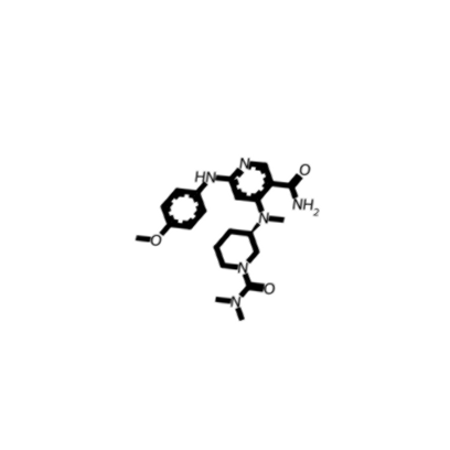 COc1ccc(Nc2cc(N(C)[C@@H]3CCCN(C(=O)N(C)C)C3)c(C(N)=O)cn2)cc1